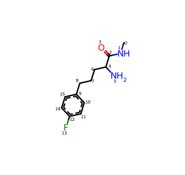 CNC(=O)C(N)CCCc1ccc(F)cc1